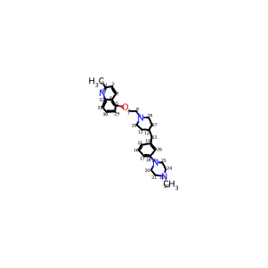 Cc1ccc2c(OCCN3CCC(Cc4cccc(N5CCN(C)CC5)c4)CC3)cccc2n1